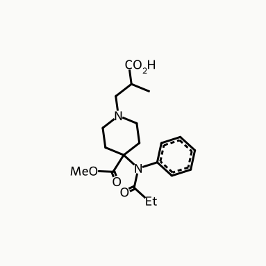 CCC(=O)N(c1ccccc1)C1(C(=O)OC)CCN(CC(C)C(=O)O)CC1